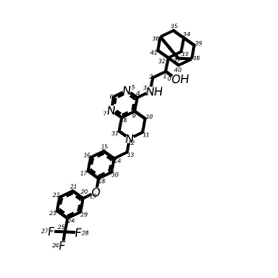 OC(CNc1ncnc2c1CCN(Cc1cccc(Oc3cccc(C(F)(F)F)c3)c1)C2)C12CC3CC(CC(C3)C1)C2